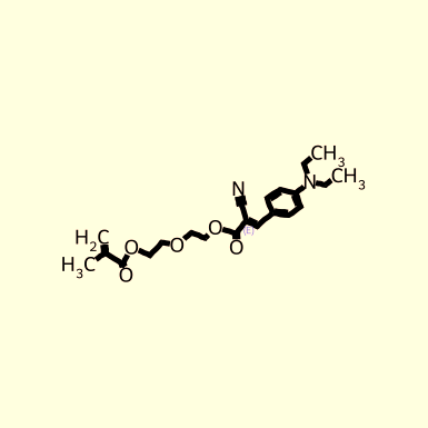 C=C(C)C(=O)OCCOCCOC(=O)/C(C#N)=C/c1ccc(N(CC)CC)cc1